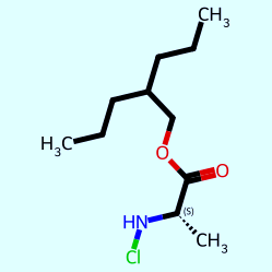 CCCC(CCC)COC(=O)[C@H](C)NCl